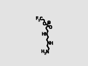 NCCNCCNCCS(=O)(=O)OCC(F)(F)F